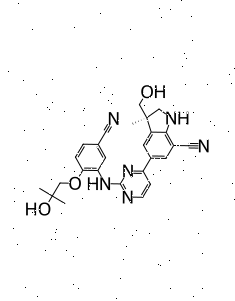 CC(C)(O)COc1ccc(C#N)cc1Nc1nccc(-c2cc(C#N)c3c(c2)[C@@](C)(CO)CN3)n1